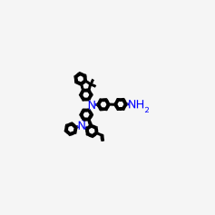 C=Cc1ccc2c(c1)c1cc(N(c3ccc(-c4ccc(N)cc4)cc3)c3ccc4c(c3)C(C)(C)c3ccccc3-4)ccc1n2-c1ccccc1